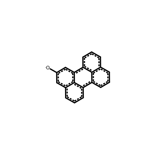 [O]c1cc2cccc3c4cccc5cccc(c(c1)c23)c54